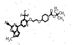 Cn1ccc2c(-c3cnc(OCCOC4CCN(C(=O)OC(C)(C)C)CC4)c(C(F)(F)F)c3)nc(C#N)nc21